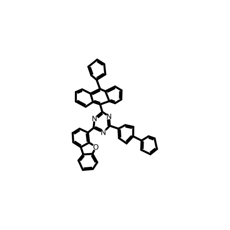 c1ccc(-c2ccc(-c3nc(-c4c5ccccc5c(-c5ccccc5)c5ccccc45)nc(-c4cccc5c4oc4ccccc45)n3)cc2)cc1